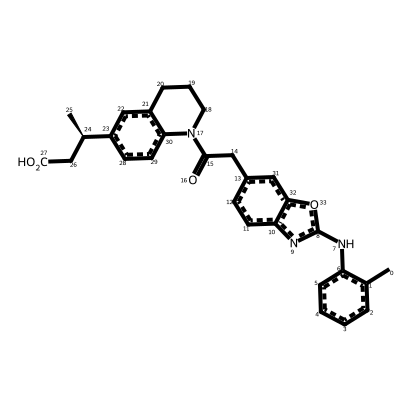 Cc1ccccc1Nc1nc2ccc(CC(=O)N3CCCc4cc([C@H](C)CC(=O)O)ccc43)cc2o1